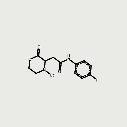 CCN1CCOC(=O)C1CC(=O)Nc1ccc(F)cc1